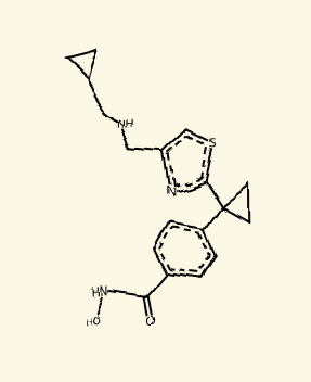 O=C(NO)c1ccc(C2(c3nc(CNCC4CC4)cs3)CC2)cc1